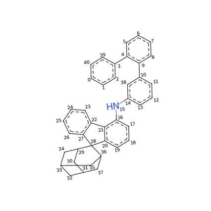 c1ccc(-c2ccccc2-c2cccc(Nc3cccc4c3-c3ccccc3C43C4CC5CC(C4)CC3C5)c2)cc1